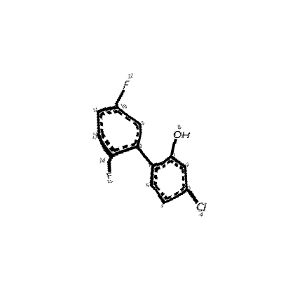 Oc1cc(Cl)ccc1-c1cc(F)ccc1F